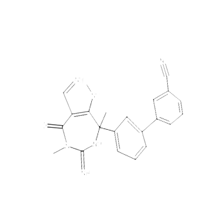 CNC1=C(C=N)C(=O)N(C)C(=N)NC1(C)c1cccc(-c2cccc(C#N)c2)c1